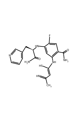 CC(=N)/C=C(\S)Nc1cc(N[C@H](Cc2cccnc2)C(N)=O)c(F)cc1C(N)=O